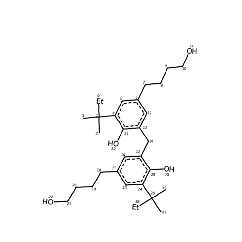 CCC(C)(C)c1cc(CCCCO)cc(Cc2cc(CCCCO)cc(C(C)(C)CC)c2O)c1O